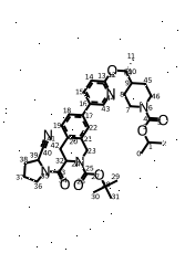 CC(C)OC(=O)N1CCC([C@@H](C)Oc2ccc(-c3ccc4c(c3)CN(C(=O)OC(C)(C)C)C(C(=O)N3CCCC3C#N)C4)cn2)CC1